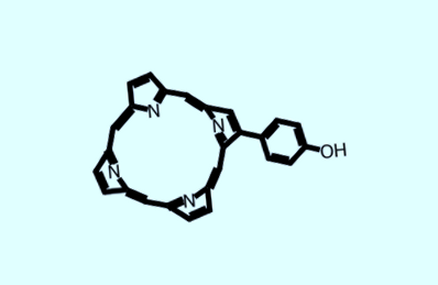 Oc1ccc(C2=CC3=CC4=NC(=CC5=NC(=CC6=NC(=CC2=N3)C=C6)C=C5)C=C4)cc1